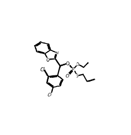 CCCSP(=O)(OCC)OC(c1nc2ccccc2o1)c1ccc(Cl)cc1Cl